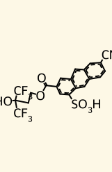 N#Cc1ccc2cc3c(S(=O)(=O)O)cc(C(=O)OCCC(O)(C(F)(F)F)C(F)(F)F)cc3cc2c1